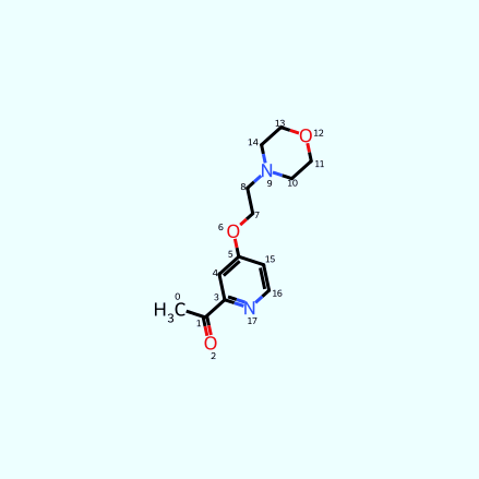 CC(=O)c1cc(OCCN2CCOCC2)ccn1